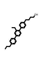 CCCc1ccc(-c2ccc(-c3ccc(CCCCO)cc3)c(CC)c2)cc1